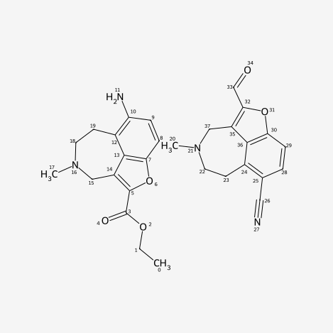 CCOC(=O)c1oc2ccc(N)c3c2c1CN(C)CC3.CN1CCc2c(C#N)ccc3oc(C=O)c(c23)C1